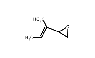 CC=C(C(=O)O)C1CO1